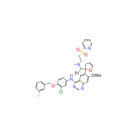 CCC(N(C)CCS(=O)(=O)c1ccccn1)C1(c2cc3c(Nc4ccc(OCc5cccc(F)c5)c(Cl)c4)ncnc3cc2OC)CC=CO1